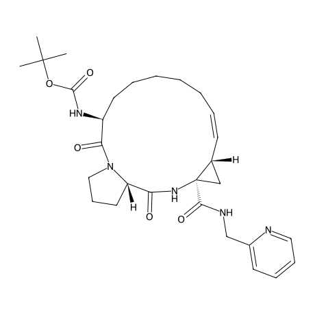 CC(C)(C)OC(=O)N[C@H]1CCCCC/C=C\[C@@H]2C[C@@]2(C(=O)NCc2ccccn2)NC(=O)[C@@H]2CCCN2C1=O